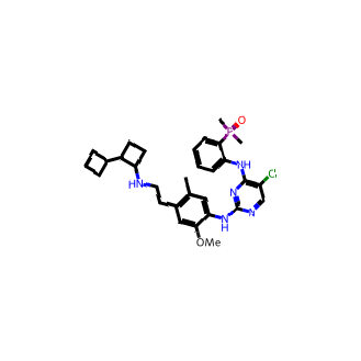 COc1cc(CCNC2CCC2C2CCC2)c(C)cc1Nc1ncc(Cl)c(Nc2ccccc2P(C)(C)=O)n1